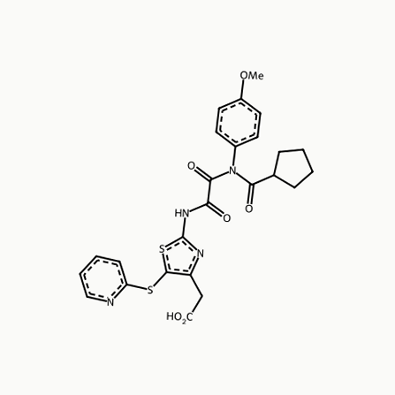 COc1ccc(N(C(=O)C(=O)Nc2nc(CC(=O)O)c(Sc3ccccn3)s2)C(=O)C2CCCC2)cc1